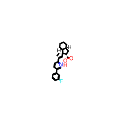 CC[C@@]1(C=Cc2ccc(-c3cccc(F)c3)cn2)[C@@H](C(=O)O)C[C@H]2CCCC[C@H]21